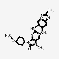 CO[C@H]1CC[C@@H](n2c(=O)n(C)c3cnc(Nc4cn5nc(C)nc5cc4C)nc32)CC1